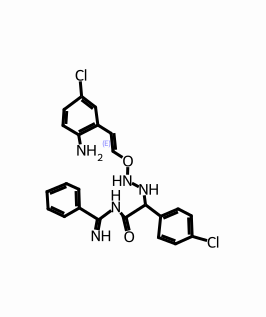 N=C(NC(=O)C(NNO/C=C/c1cc(Cl)ccc1N)c1ccc(Cl)cc1)c1ccccc1